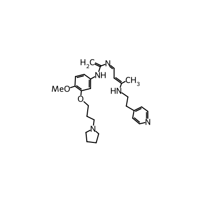 C=C(/N=C\C=C(/C)NCCc1ccncc1)Nc1ccc(OC)c(OCCCN2CCCC2)c1